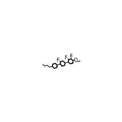 CCCCc1ccc(-c2ccc(-c3ccc(OCC)c(F)c3F)cc2F)cc1